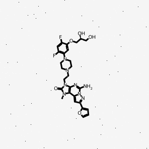 Cn1c(=O)n(CCN2CCN(c3cc(OC[C@@H](O)CO)c(F)cc3F)CC2)c2nc(N)n3nc(-c4ccco4)cc3c21